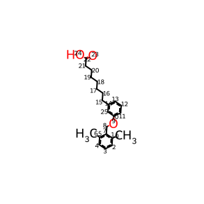 Cc1cccc(C)c1COc1cccc(CCCCCCCC(=O)O)c1